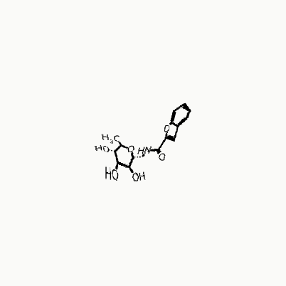 CC1O[C@H](CNC(=O)c2cc3ccccc3o2)C(O)C(O)[C@@H]1O